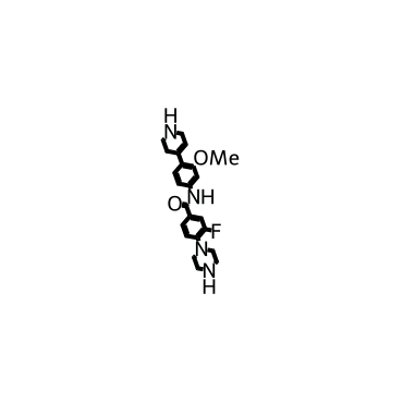 COc1cc(NC(=O)c2ccc(N3CCNCC3)c(F)c2)ccc1C1=CCNCC1